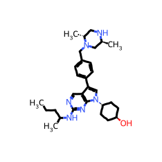 CCCC(C)Nc1ncc2c(-c3ccc(CN4C[C@H](C)NC[C@H]4C)cc3)cn([C@H]3CC[C@H](O)CC3)c2n1